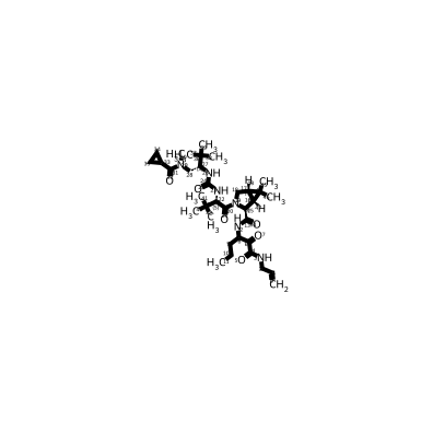 C=CCNC(=O)C(=O)C(CCC)NC(=O)[C@@H]1[C@@H]2[C@H](CN1C(=O)[C@@H](NC(=O)N[C@H](CN(C)C(=O)C1CC1)C(C)(C)C)C(C)(C)C)C2(C)C